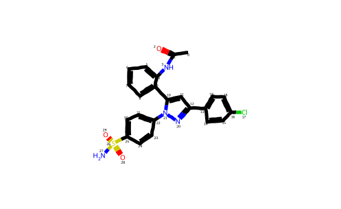 CC(=O)Nc1ccccc1-c1cc(-c2ccc(Cl)cc2)nn1-c1ccc(S(N)(=O)=O)cc1